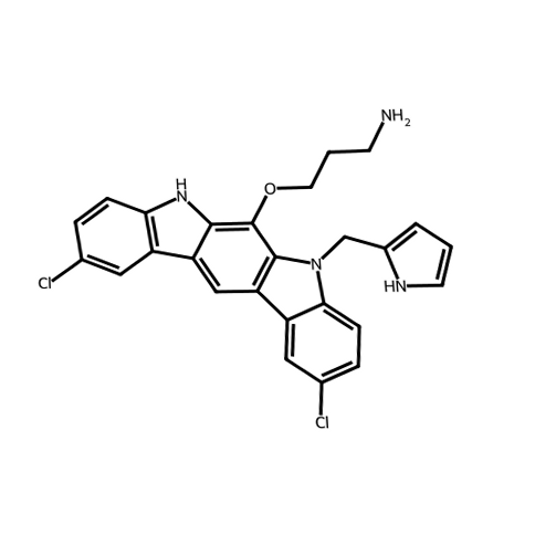 NCCCOc1c2[nH]c3ccc(Cl)cc3c2cc2c3cc(Cl)ccc3n(Cc3ccc[nH]3)c12